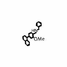 COc1cc(-c2cccc3ccccc23)ccc1CNCc1ccccc1